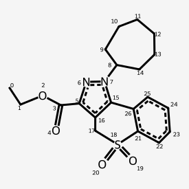 CCOC(=O)c1nn(C2CCCCCC2)c2c1CS(=O)(=O)c1ccccc1-2